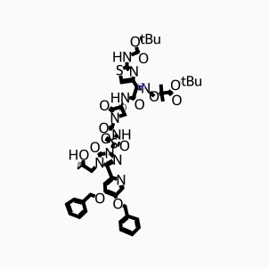 C[C@@H](O)Cn1c(-c2cc(OCc3ccccc3)c(OCc3ccccc3)cn2)nn(S(=O)(=O)NC(=O)N2C[C@H](NC(=O)/C(=N\OC(C)(C)C(=O)OC(C)(C)C)c3csc(NC(=O)OC(C)(C)C)n3)C2=O)c1=O